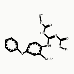 CC(=O)Nc1cc(Sc2ccccc2)ccc1NC(=NC(=O)OC(C)C)NC(=O)OC(C)C